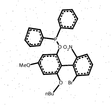 CCCCOc1cc(OC)cc(OP(c2ccccc2)c2ccccc2)c1-c1c(Br)cccc1[N+](=O)[O-]